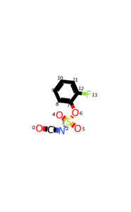 O=C=NS(=O)(=O)Oc1ccccc1F